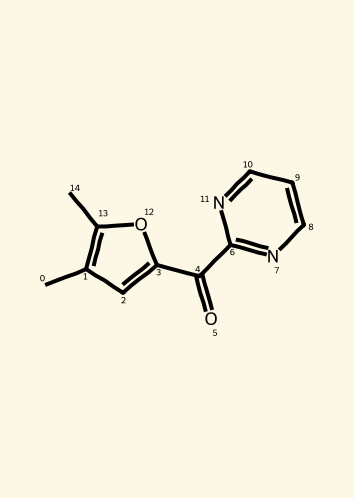 Cc1cc(C(=O)c2ncccn2)oc1C